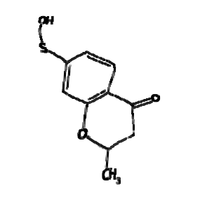 CC1CC(=O)c2ccc(SO)cc2O1